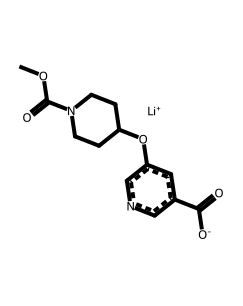 COC(=O)N1CCC(Oc2cncc(C(=O)[O-])c2)CC1.[Li+]